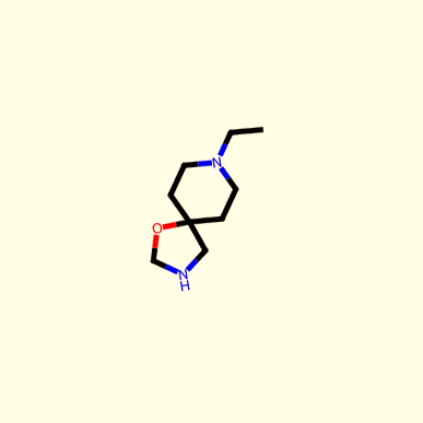 CCN1CCC2(CC1)CNCO2